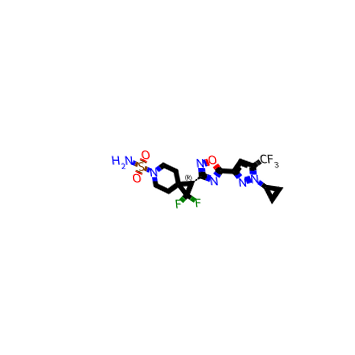 NS(=O)(=O)N1CCC2(CC1)[C@H](c1noc(-c3cc(C(F)(F)F)n(C4CC4)n3)n1)C2(F)F